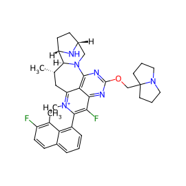 Cc1c(F)ccc2cccc(-c3c(F)c4nc(OCC56CCCN5CCC6)nc5c4c([n+]3C)C[C@H](C)[C@H]3[C@@H]4CC[C@H](CN53)N4)c12